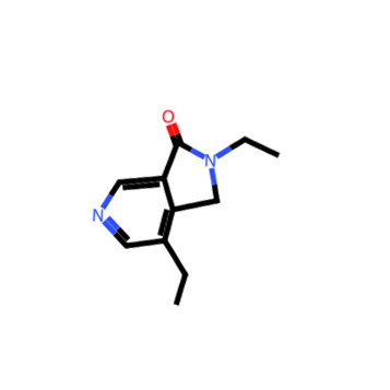 CCc1cncc2c1CN(CC)C2=O